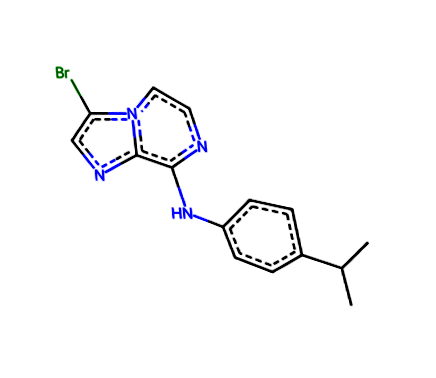 CC(C)c1ccc(Nc2nccn3c(Br)cnc23)cc1